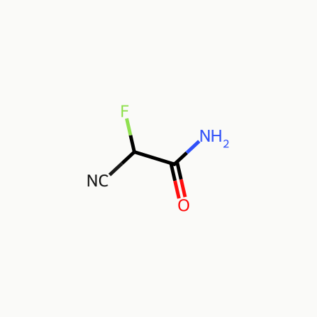 N#CC(F)C(N)=O